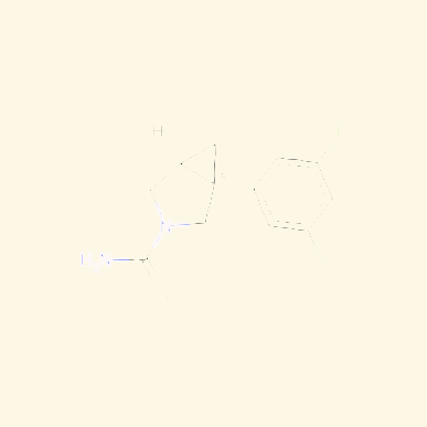 NC(=S)N1C[C@H]2C[C@@]2(c2cc(F)cc(F)c2)C1